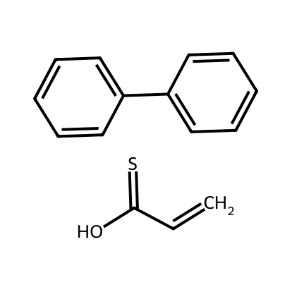 C=CC(O)=S.c1ccc(-c2ccccc2)cc1